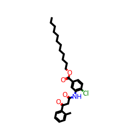 CCCCCCCCCCCCOC(=O)c1ccc(Cl)c(NC(=O)CC(=O)c2ccccc2C)c1